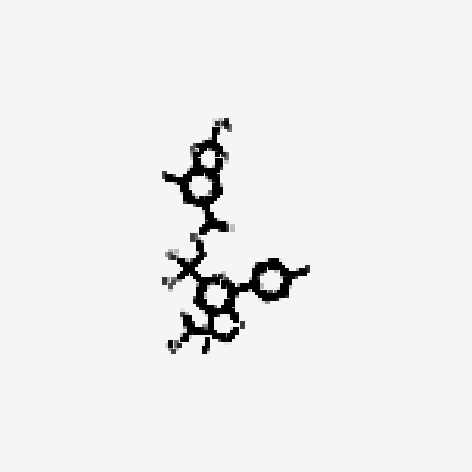 C[C@]1(C(N)=O)COc2c1cc(C(O)(CNC(=O)c1cc(F)c3oc(N)nc3c1)C(F)(F)F)nc2-c1ccc(F)cc1